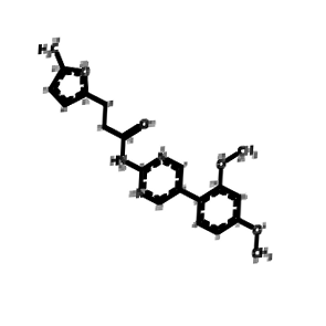 COc1ccc(-c2cnc(NC(=O)CCc3ccc(C)o3)nc2)c(OC)c1